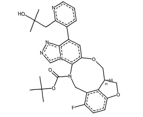 CC(C)(O)Cc1ncccc1-c1cc2c(n3cnnc13)N(C(=O)OC(C)(C)C)Cc1c(F)ccc3c1[C@H](CO3)CO2